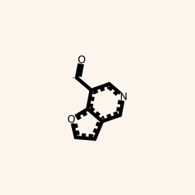 O=[C]c1cncc2ccoc12